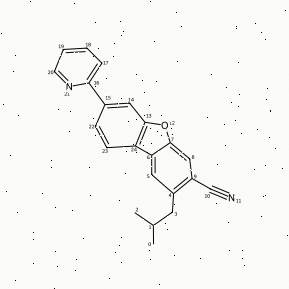 CC(C)Cc1cc2c(cc1C#N)oc1cc(-c3ccccn3)ccc12